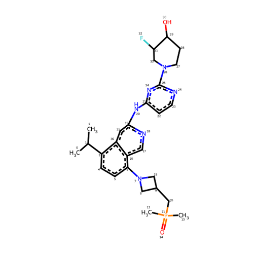 CC(C)c1ccc(N2CC(CP(C)(C)=O)C2)c2cnc(Nc3ccnc(N4CCC(O)C(F)C4)n3)cc12